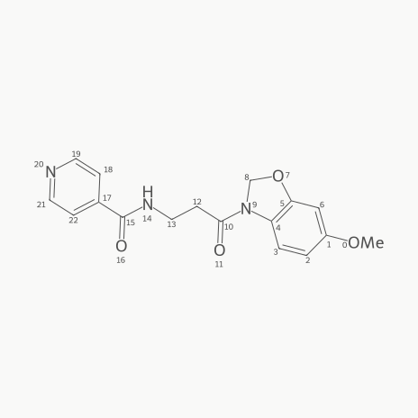 COc1ccc2c(c1)OCN2C(=O)CCNC(=O)c1ccncc1